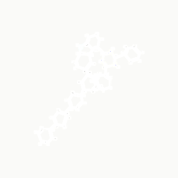 C1=CCC=C(c2nc(C3=c4c(oc5ccc(-c6cccc(-c7ccc(-c8ccc(-c9ccccc9)cc8)cc7)c6)cc45)=CCC3)nc(-c3ccccc3)n2)C=C1